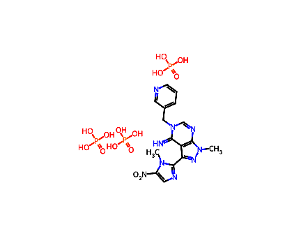 Cn1c([N+](=O)[O-])cnc1-c1nn(C)c2ncn(Cc3cccnc3)c(=N)c12.O=P(O)(O)O.O=P(O)(O)O.O=P(O)(O)O